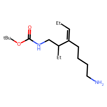 CC/C=C(/CCCCN)C(CC)CNC(=O)OC(C)(C)C